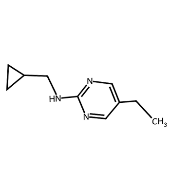 CCc1cnc(NCC2CC2)nc1